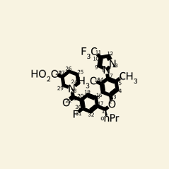 CCC[C@H](Oc1cc(C)c(-n2cc(C(F)(F)F)cn2)c(C)c1)c1ccc(C(=O)N2CCCC(C(=O)O)C2)c(F)c1